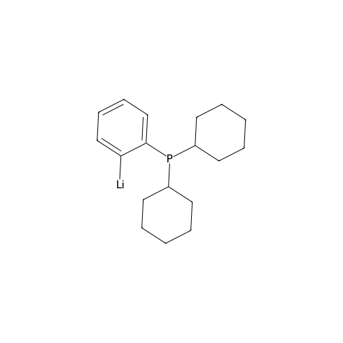 [Li][c]1ccccc1P(C1CCCCC1)C1CCCCC1